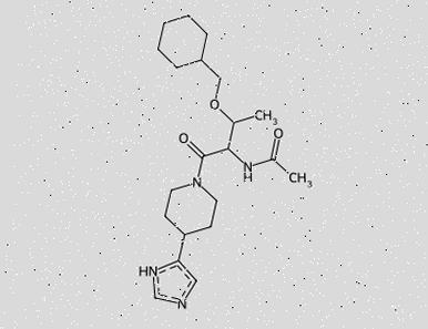 CC(=O)NC(C(=O)N1CCC(c2cnc[nH]2)CC1)C(C)OCC1CCCCC1